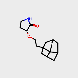 O=C1NCC[C@H]1OCCC12CC3CC4CC(C1)C42C3